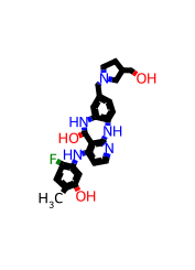 Cc1cc(F)c(Nc2ccnc3c2C(O)Nc2cc(CN4CCC(CO)C4)ccc2N3)cc1O